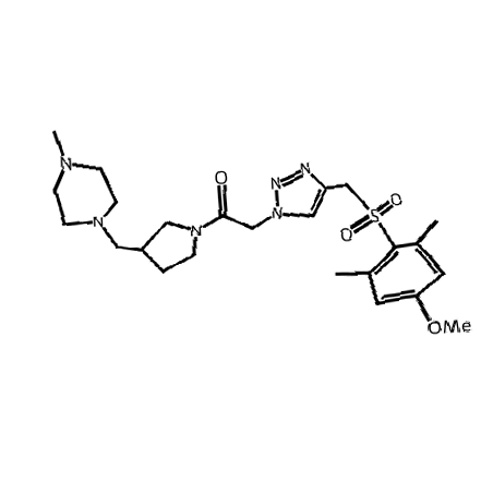 COc1cc(C)c(S(=O)(=O)Cc2cn(CC(=O)N3CCC(CN4CCN(C)CC4)C3)nn2)c(C)c1